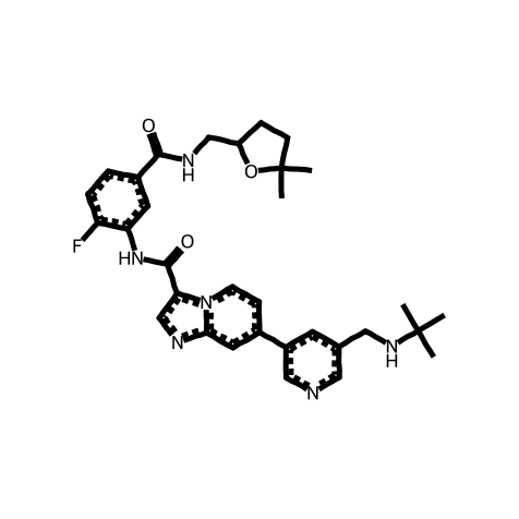 CC(C)(C)NCc1cncc(-c2ccn3c(C(=O)Nc4cc(C(=O)NCC5CCC(C)(C)O5)ccc4F)cnc3c2)c1